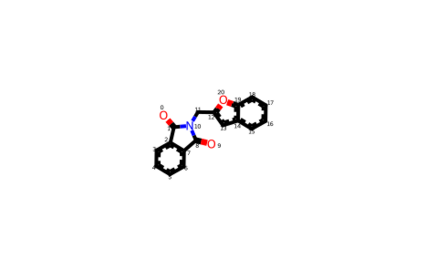 O=C1c2ccccc2C(=O)N1Cc1cc2ccccc2o1